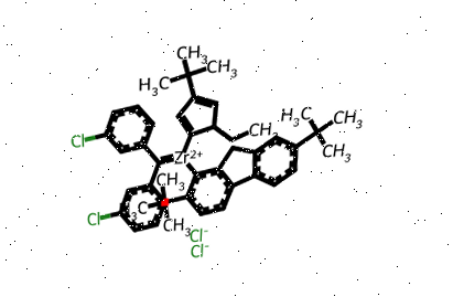 CCC1C=C(C(C)(C)C)C=[C]1[Zr+2](=[C](c1cccc(Cl)c1)c1cccc(Cl)c1)[c]1c(C(C)(C)C)ccc2c1Cc1cc(C(C)(C)C)ccc1-2.[Cl-].[Cl-]